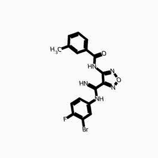 Cc1cccc(C(=O)Nc2nonc2C(=N)Nc2ccc(F)c(Br)c2)c1